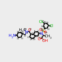 CC(C(=O)O)N(c1ccc2c(C(=O)N(C)Cc3ccc(N)cc3)cccc2c1)S(=O)(=O)c1cc(Cl)cc(Cl)c1